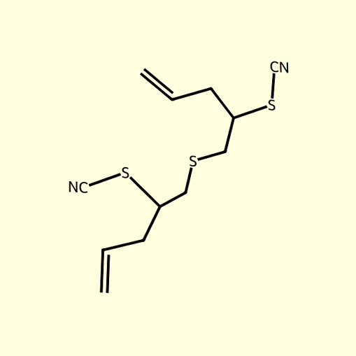 C=CCC(CSCC(CC=C)SC#N)SC#N